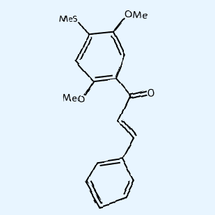 COc1cc(C(=O)C=Cc2ccccc2)c(OC)cc1SC